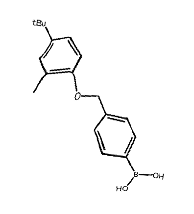 Cc1cc(C(C)(C)C)ccc1OCc1ccc(B(O)O)cc1